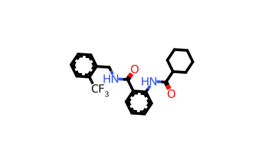 O=C(NCc1ccccc1C(F)(F)F)c1ccccc1NC(=O)C1CCCCC1